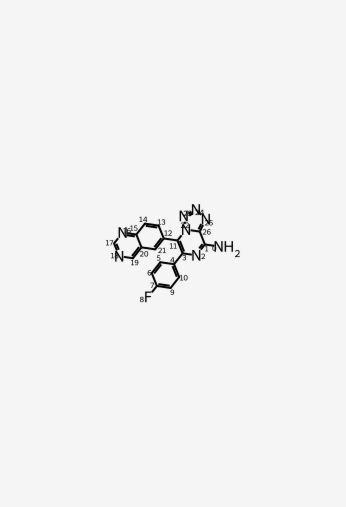 Nc1nc(-c2ccc(F)cc2)c(-c2ccc3ncncc3c2)n2nnnc12